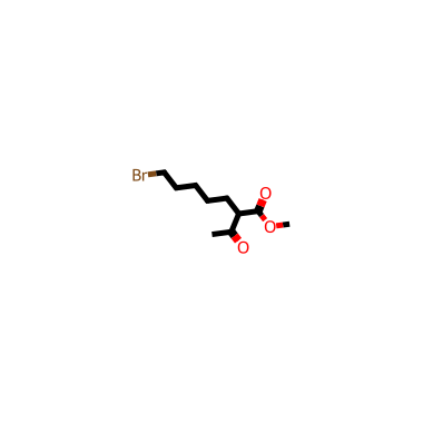 COC(=O)C(CCCCCBr)C(C)=O